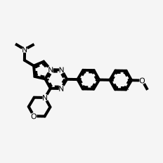 COc1[c]cc(-c2ccc(-c3nc(N4CCOCC4)c4cc(CN(C)C)cn4n3)cc2)cc1